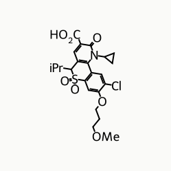 COCCCOc1cc2c(cc1Cl)-c1c(cc(C(=O)O)c(=O)n1C1CC1)C(C(C)C)S2(=O)=O